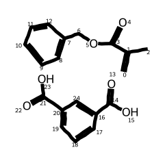 C=C(C)C(=O)OCc1ccccc1.O=C(O)c1cccc(C(=O)O)c1